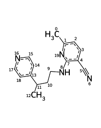 Cc1ccc(C#N)c(NCCC(C)c2ccncc2)n1